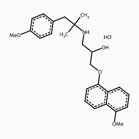 COc1ccc(CC(C)(C)NCC(O)COc2cccc3c(OC)cccc23)cc1.Cl